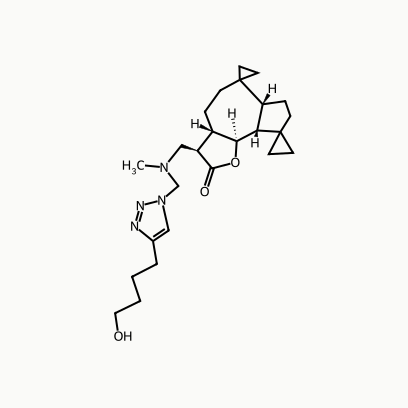 CN(C[C@@H]1C(=O)O[C@H]2[C@H]1CCC1(CC1)[C@@H]1CCC3(CC3)[C@H]21)Cn1cc(CCCCO)nn1